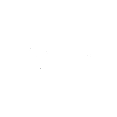 CC(=O)NCCCOS(C)(=O)=O